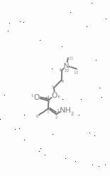 CC(=CN)C(=O)OCCCN(C)C